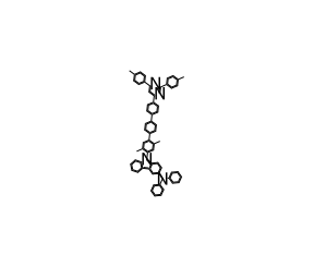 Cc1ccc(-c2cc(-c3ccc(-c4ccc(-c5cc(C)c(-n6c7ccccc7c7cc(N(c8ccccc8)c8ccccc8)ccc76)cc5C)cc4)cc3)nc(-c3ccc(C)cc3)n2)cc1